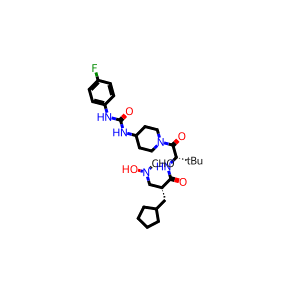 CC(C)(C)[C@H](NC(=O)[C@H](CC1CCCC1)CN(O)C=O)C(=O)N1CCC(NC(=O)Nc2ccc(F)cc2)CC1